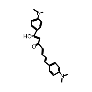 CN(C)c1ccc(/C=C/C=C/C(=O)/C=C(\O)c2ccc(N(C)C)cc2)cc1